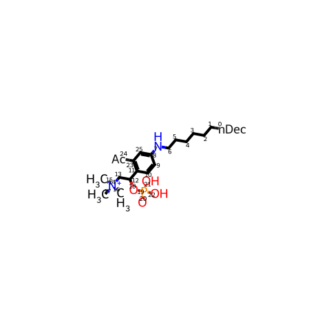 CCCCCCCCCCCCCCCCNc1ccc(C(C[N+](C)(C)C)OP(=O)(O)O)c(C(C)=O)c1